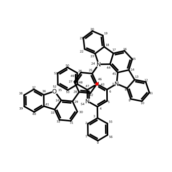 c1ccc(-c2cc(-n3c4ccccc4c4ccc5c6ccccc6n(-c6ccc(-c7cccc8c7oc7ccccc78)cc6)c5c43)nc(-c3ccccc3)n2)cc1